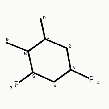 CC1CC(F)CC(F)C1C